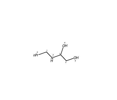 CCCCNC(O)CO